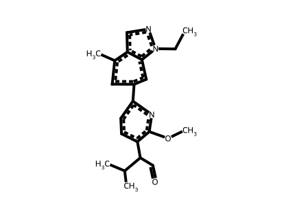 CCn1ncc2c(C)cc(-c3ccc(C(C=O)C(C)C)c(OC)n3)cc21